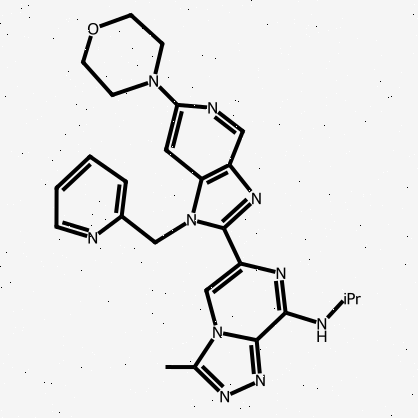 Cc1nnc2c(NC(C)C)nc(-c3nc4cnc(N5CCOCC5)cc4n3Cc3ccccn3)cn12